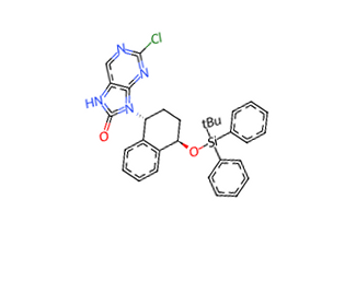 CC(C)(C)[Si](O[C@@H]1CC[C@@H](n2c(=O)[nH]c3cnc(Cl)nc32)c2ccccc21)(c1ccccc1)c1ccccc1